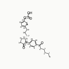 CCCCCC(=O)c1ccc(N2C(=O)CC[C@@H]2CCCc2ccc(OC(=O)O)s2)cc1